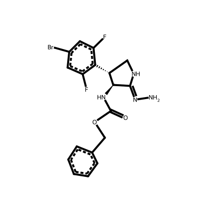 N/N=C1\NC[C@@H](c2c(F)cc(Br)cc2F)[C@@H]1NC(=O)OCc1ccccc1